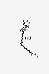 CCCCCCCC/C=C\CCCCCCCC(=O)NCNCCC.Cl